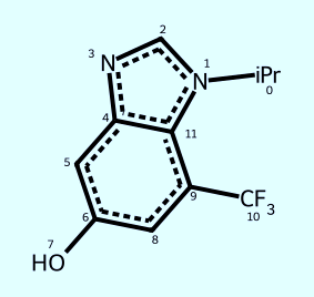 CC(C)n1cnc2cc(O)cc(C(F)(F)F)c21